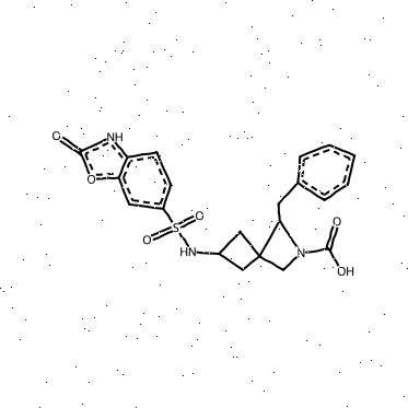 O=C(O)N1CC2(CC(NS(=O)(=O)c3ccc4[nH]c(=O)oc4c3)C2)C1Cc1ccccc1